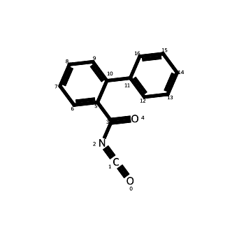 O=C=NC(=O)c1ccccc1-c1ccccc1